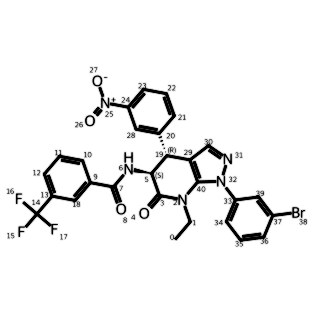 CCN1C(=O)[C@@H](NC(=O)c2cccc(C(F)(F)F)c2)[C@H](c2cccc([N+](=O)[O-])c2)c2cnn(-c3cccc(Br)c3)c21